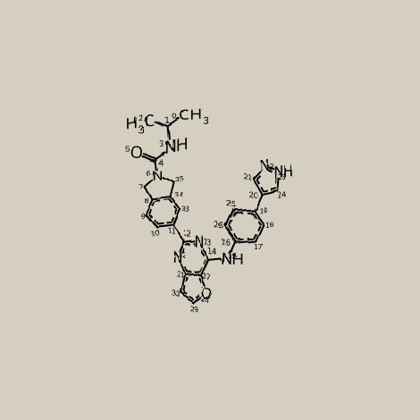 CC(C)NC(=O)N1Cc2ccc(-c3nc(Nc4ccc(-c5cn[nH]c5)cc4)c4occc4n3)cc2C1